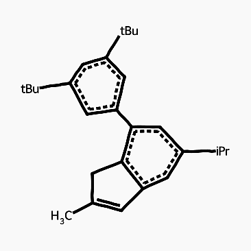 CC1=Cc2cc(C(C)C)cc(-c3cc(C(C)(C)C)cc(C(C)(C)C)c3)c2C1